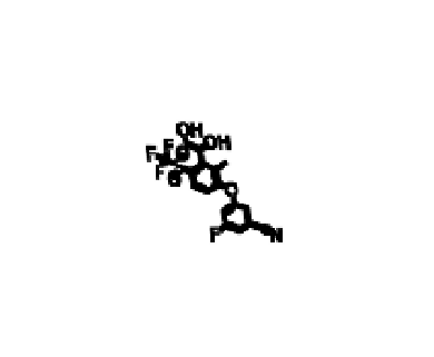 Cc1c(Oc2cc(F)cc(C#N)c2)ccc(S(=O)(=O)C(F)(F)F)c1C(O)CO